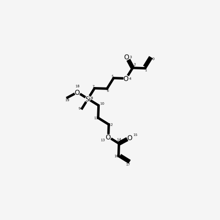 C=CC(=O)OCCC[Si](C)(CCCOC(=O)C=C)OC